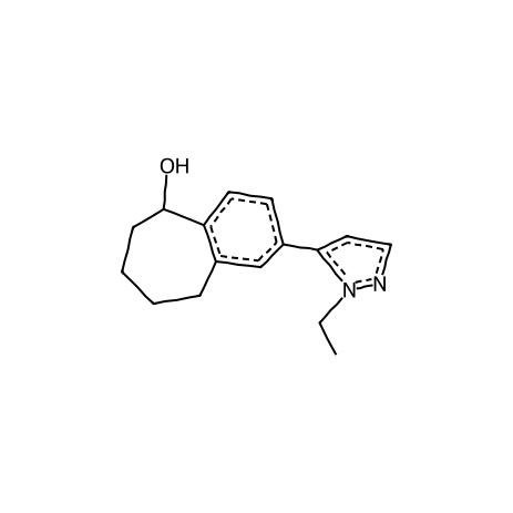 CCn1nccc1-c1ccc2c(c1)CCCCC2O